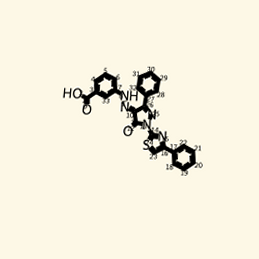 O=C(O)c1cccc(N/N=C2/C(=O)N(c3nc(-c4ccccc4)cs3)N=C2c2ccccc2)c1